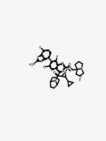 CP(C)(=O)N1C(C(=O)N2C3CCC2CN(c2nc(OCC45CCCN4C[C@H](F)C5)nc4c(F)c(-c5ccc(F)c6sc(N)nc56)c(Cl)cc24)C3)C1C1CC1